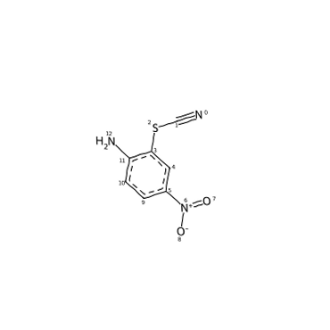 N#CSc1cc([N+](=O)[O-])ccc1N